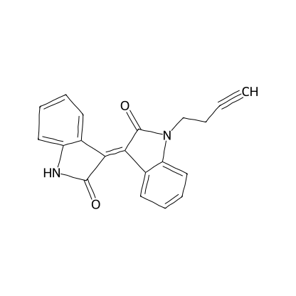 C#CCCN1C(=O)/C(=C2/C(=O)Nc3ccccc32)c2ccccc21